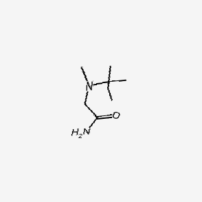 CN(CC(N)=O)C(C)(C)C